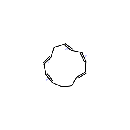 [C]1=C/C=C\CC/C=C/C=C\C=C\C/1